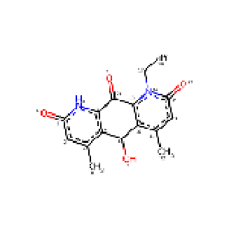 Cc1cc(=O)[nH]c2c1C(O)c1c(C)cc(=O)n(CC(C)C)c1C2=O